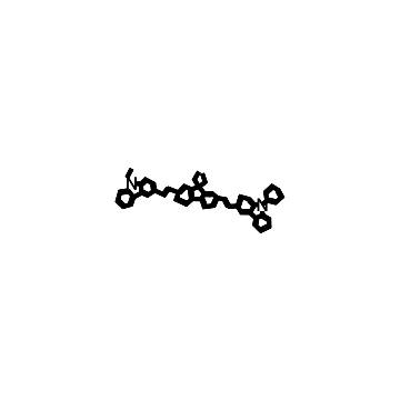 CCn1c2ccccc2c2cc(/C=C/c3ccc4c(c3)C(CC)(CC)c3cc(/C=C/c5ccc6c(c5)c5ccccc5n6-c5ccccc5)ccc3-4)ccc21